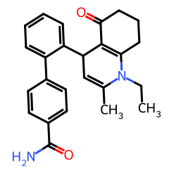 CCN1C(C)=CC(c2ccccc2-c2ccc(C(N)=O)cc2)C2=C1CCCC2=O